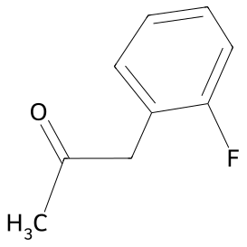 CC(=O)Cc1ccccc1F